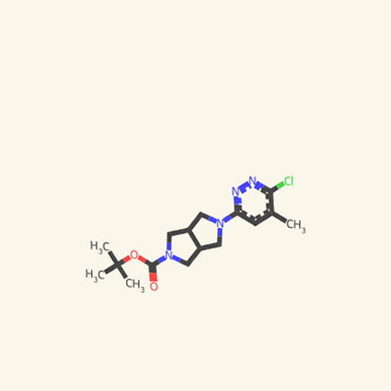 Cc1cc(N2CC3CN(C(=O)OC(C)(C)C)CC3C2)nnc1Cl